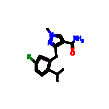 CC(C)c1ccc(F)cc1Cc1nn(C)cc1C(N)=O